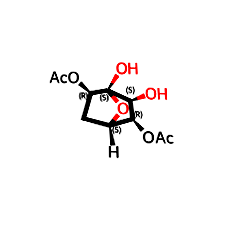 CC(=O)O[C@H]1[C@@H]2C[C@@H](OC(C)=O)[C@@](O)(O2)[C@H]1O